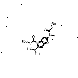 CN(C(=O)CC(C)(C)C)c1cc2c(cc(B(O)O)n2C(=O)OC(C)(C)C)s1